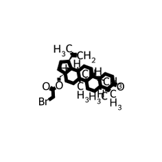 C=C(C)[C@@H]1CC[C@]2(COC(=O)CBr)CC[C@]3(C)[C@H](CC[C@@H]4[C@@]5(C)CCC(=O)C(C)(C)[C@@H]5CC[C@]43C)[C@@H]12